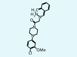 C=c1cccc/c1=C/N(N)CC(=O)N1CCN(c2ccc(Cl)c(OC)c2)CC1